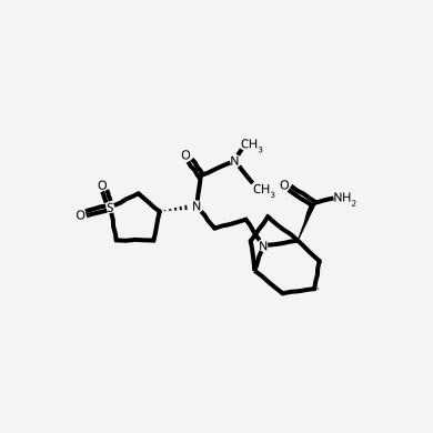 CN(C)C(=O)N(CCN1C2C[CH]C[C@@]1(C(N)=O)CC2)[C@@H]1CCS(=O)(=O)C1